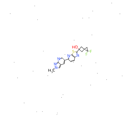 Cn1cc2cc(-c3ccc4nc(C5(O)CC6(C5)CC6(F)F)sc4n3)cnc2n1